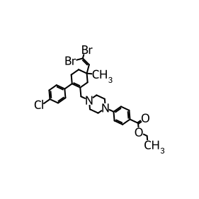 CCOC(=O)c1ccc(N2CCN(CC3=C(c4ccc(Cl)cc4)CCC(C)(C=C(Br)Br)C3)CC2)cc1